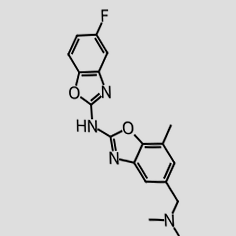 Cc1cc(CN(C)C)cc2nc(Nc3nc4cc(F)ccc4o3)oc12